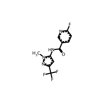 Cn1nc(C(F)(F)F)cc1NC(=O)c1ccc(F)nc1